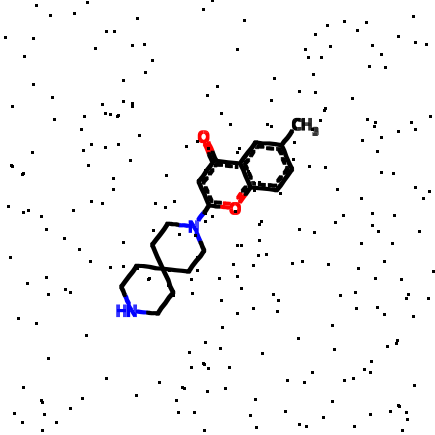 Cc1ccc2oc(N3CCC4(CCNCC4)CC3)cc(=O)c2c1